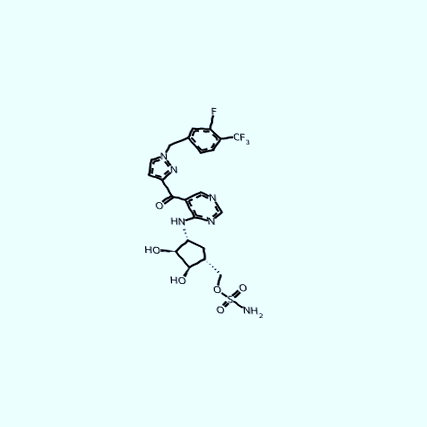 NS(=O)(=O)OC[C@H]1C[C@@H](Nc2ncncc2C(=O)c2ccn(Cc3ccc(C(F)(F)F)c(F)c3)n2)[C@H](O)[C@@H]1O